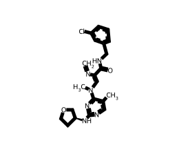 C=N/C(=C\N(C)c1nc(N[C@H]2CCOC2)ncc1C)C(=O)NCc1cccc(Cl)c1